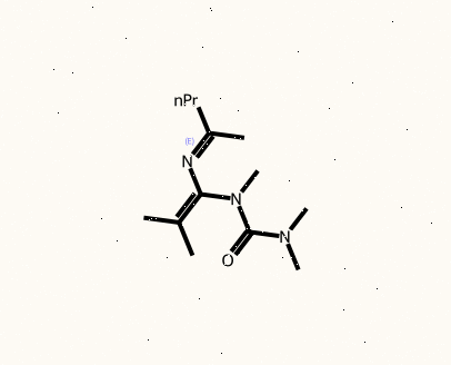 CCC/C(C)=N/C(=C(C)C)N(C)C(=O)N(C)C